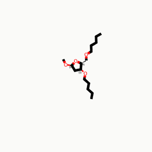 CCCCCOC[C@H]1O[C@H](OC)C[C@@H]1OCCCCC